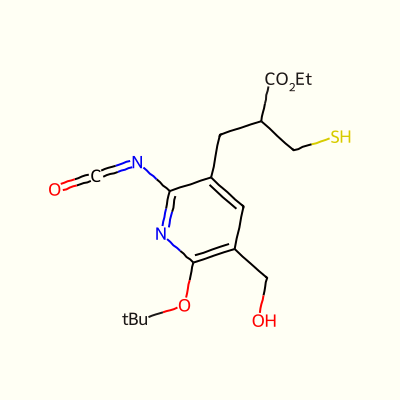 CCOC(=O)C(CS)Cc1cc(CO)c(OC(C)(C)C)nc1N=C=O